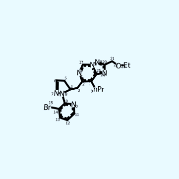 CCCc1c(CC2CC=NN2c2ncccc2Br)ncn2nc(COCC)nc12